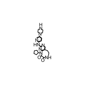 O=C1NCCCc2cnc(Nc3ccc(N4CCNCC4)cn3)nc2N(C2CCCC2)C1=O